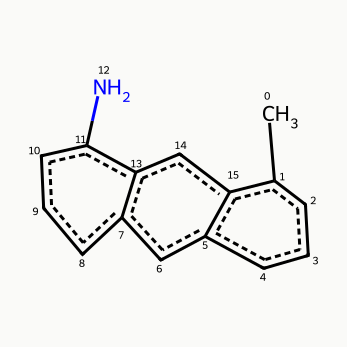 Cc1cccc2cc3cccc(N)c3cc12